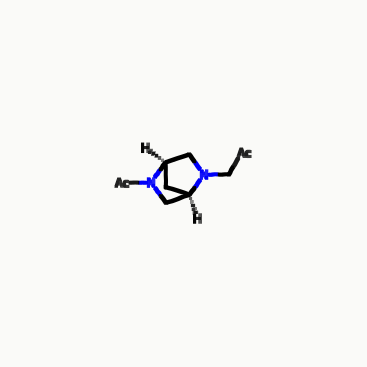 CC(=O)CN1C[C@H]2C[C@@H]1CN2C(C)=O